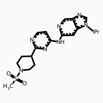 CC(C)n1cnc2cnc(Nc3ccnc(C4CCN(S(C)(=O)=O)CC4)n3)cc21